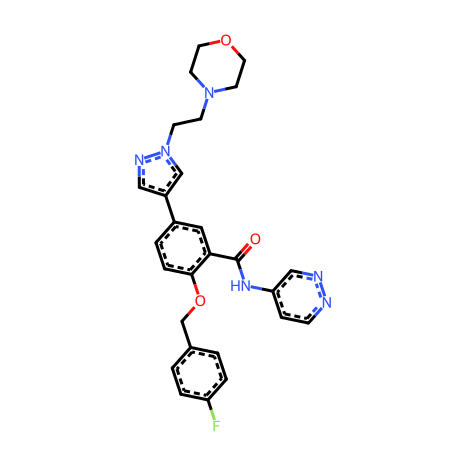 O=C(Nc1ccnnc1)c1cc(-c2cnn(CCN3CCOCC3)c2)ccc1OCc1ccc(F)cc1